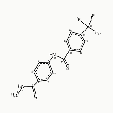 CNC(=O)c1ccc(NC(=O)c2ccc(C(F)(F)F)cc2)cc1